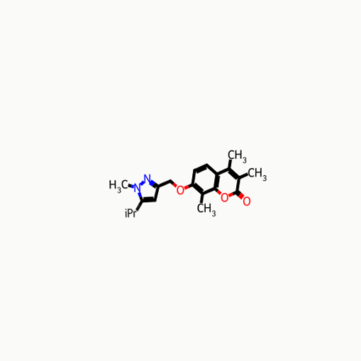 Cc1c(C)c2ccc(OCc3cc(C(C)C)n(C)n3)c(C)c2oc1=O